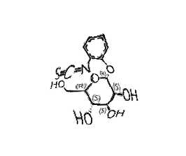 OC[C@H]1O[C@H](Oc2ccccc2N=C=S)[C@@H](O)[C@@H](O)[C@@H]1O